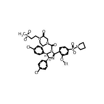 CCOc1cc(S(=O)(=O)N2CCCC2)ccc1C1=N[C@@H](c2ccc(Cl)cc2)[C@@H](c2ccc(Cl)cc2)N1C(=O)N1CCN(CCS(C)(=O)=O)C(=O)C1